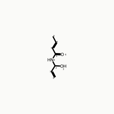 C=CC(O)NC(=O)/C=C/C